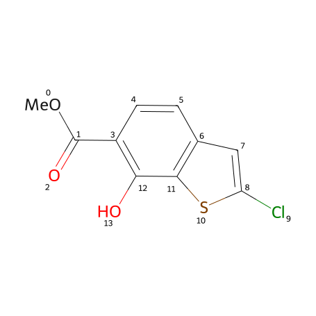 COC(=O)c1ccc2cc(Cl)sc2c1O